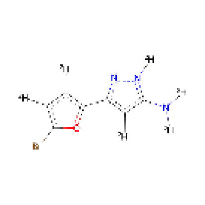 [2H]c1c(Br)oc(-c2nn([2H])c(N([2H])[2H])c2[2H])c1[2H]